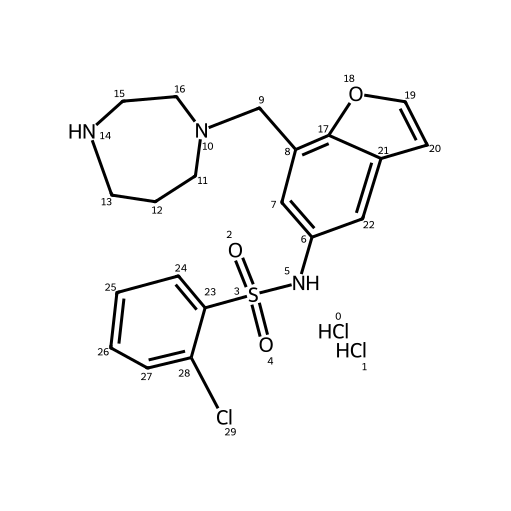 Cl.Cl.O=S(=O)(Nc1cc(CN2CCCNCC2)c2occc2c1)c1ccccc1Cl